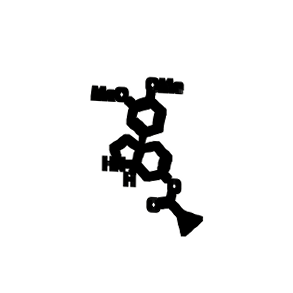 COc1ccc([C@@]23CC=C(OC(=O)C4CC4)C[C@@H]2NCC3)cc1OC